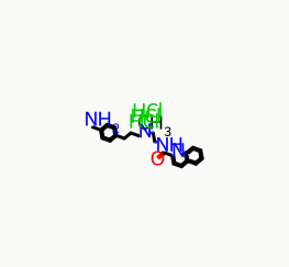 CN(CCCc1ccc(CN)cc1)CCNC(=O)c1ccc2ccccc2n1.Cl.Cl.Cl